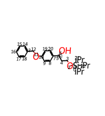 CC(C)[Si](OCC[C@H](O)c1ccc(OCc2ccccc2)cc1)(C(C)C)C(C)C